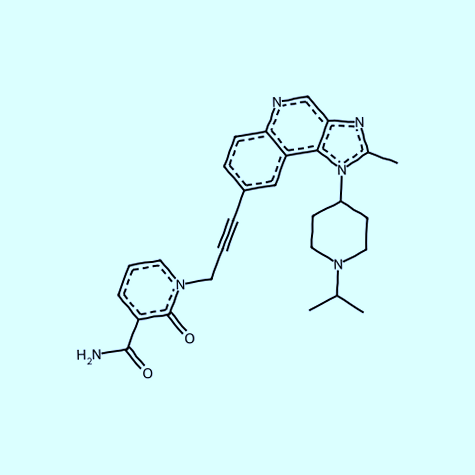 Cc1nc2cnc3ccc(C#CCn4cccc(C(N)=O)c4=O)cc3c2n1C1CCN(C(C)C)CC1